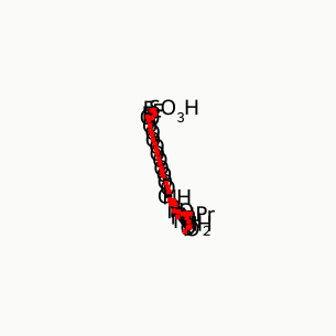 CCCN(OCCNC(=O)OC1CCC1)C(=O)C1=Cc2c(cnn2Cc2ccc(CNC(=O)CCOCCOCCOCCOCCOCCOCCOCCOCCOCCOCCC(=O)Oc3c(F)c(F)c(S(=O)(=O)O)c(F)c3F)cc2)N=C(N)C1